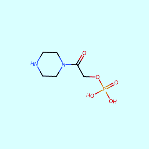 O=C(COP(=O)(O)O)N1CCNCC1